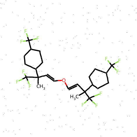 CC(C=COC=CC(C)(C1CCC(C(F)(F)F)CC1)C(F)(F)F)(C1CCC(C(F)(F)F)CC1)C(F)(F)F